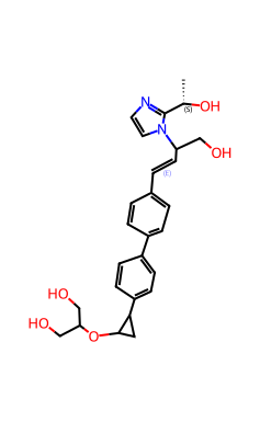 C[C@H](O)c1nccn1C(/C=C/c1ccc(-c2ccc(C3CC3OC(CO)CO)cc2)cc1)CO